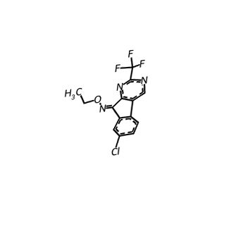 CCON=C1c2cc(Cl)ccc2-c2cnc(C(F)(F)F)nc21